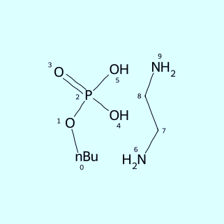 CCCCOP(=O)(O)O.NCCN